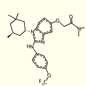 C[C@@H]1C[C@@H](n2c(Nc3ccc(OC(F)(F)F)cc3)nc3cc(OCC(=O)N(C)C)ccc32)CC(C)(C)C1